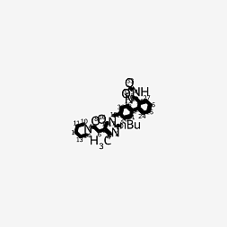 CCCCc1nc(C)c(CC(=O)N2CCCCC2)c(=O)n1Cc1ccc(-c2ccccc2-c2noc(=O)[nH]2)cc1